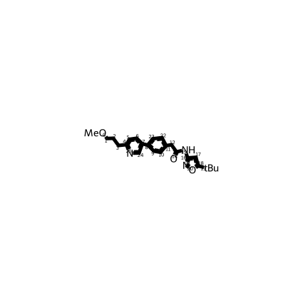 COCCCc1ccc(-c2ccc(CC(=O)Nc3cc(C(C)(C)C)on3)cc2)cn1